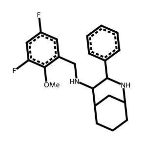 COc1c(F)cc(F)cc1CNC1C2CCCC(C2)NC1c1ccccc1